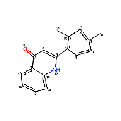 Cc1ccc(-c2cc(=O)c3ccccc3[nH]2)c(C)c1